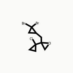 ClC1(C2(CC3CC3(Br)Br)CO2)CC1